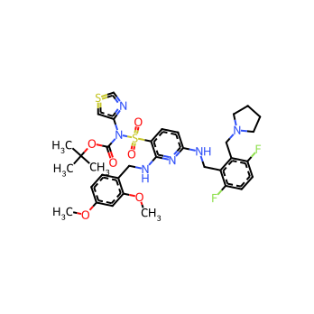 COc1ccc(CNc2nc(NCc3c(F)ccc(F)c3CN3CCCC3)ccc2S(=O)(=O)N(C(=O)OC(C)(C)C)c2cscn2)c(OC)c1